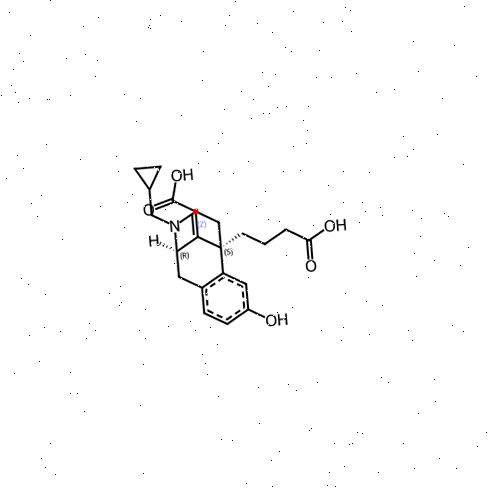 O=C(O)/C=C1\[C@H]2Cc3ccc(O)cc3[C@]1(CCCC(=O)O)CCN2CC1CC1